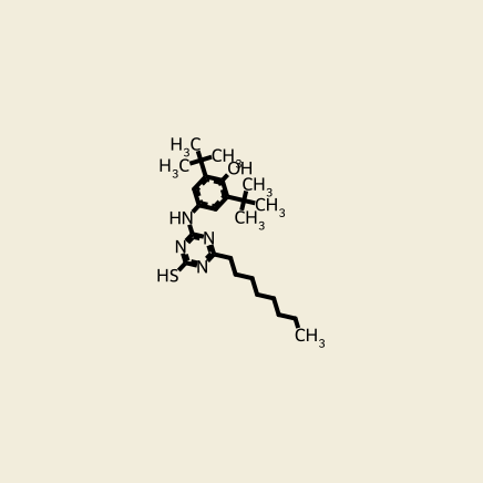 CCCCCCCCc1nc(S)nc(Nc2cc(C(C)(C)C)c(O)c(C(C)(C)C)c2)n1